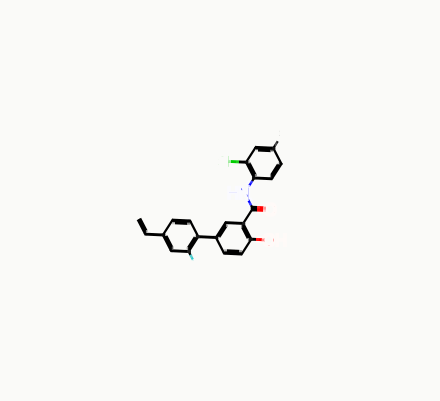 C=Cc1ccc(-c2ccc(O)c(C(=O)Nc3ccc(C(F)(F)F)cc3Cl)c2)c(F)c1